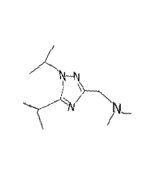 CC(C)c1nc(CN(C)C)nn1C(C)C